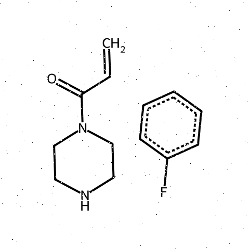 C=CC(=O)N1CCNCC1.Fc1ccccc1